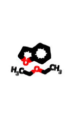 CCOCC.c1ccc2occc2c1